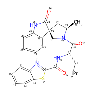 CC(C)C[C@H](NC(=O)c1nc2ccccc2s1)C(=O)N1C[C@]2(C[C@H]1C)C(=O)Nc1ccccc12